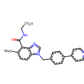 COc1ccc2c(ncn2Cc2ccc(-c3ccncc3)cc2)c1C(=O)NCC(=O)O